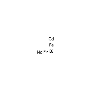 [B].[Cd].[Fe].[Fe].[Nd]